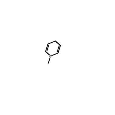 CN1C=[C]CC=C1